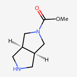 COC(=O)N1C[C@H]2CNC[C@H]2C1